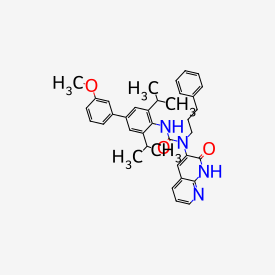 COc1cccc(-c2cc(C(C)C)c(NC(=O)N(CCCc3ccccc3)c3cc4cccnc4[nH]c3=O)c(C(C)C)c2)c1